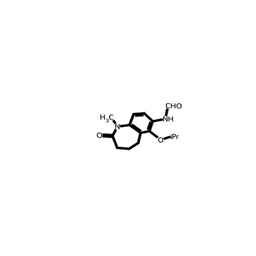 CC(C)Oc1c(NC=O)ccc2c1CCCC(=O)N2C